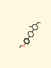 CCOc1ccc(C2CCC(C3CCC(CC)CC3C)CC2)cc1